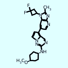 CO[C@H]1CC[C@H](Nc2ncc3c(-c4cnc5nc(C)n(C6CC(F)(F)C6)c5c4)ccn3n2)CC1